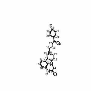 CN1C(=O)CN2c3c(cccc31)C1CN(CCCC(=O)c3ccc(F)cc3)CCC12